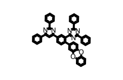 c1ccc(-c2cc(-c3ccc(-c4ccc5c(c4)Oc4ccccc4O5)c(-c4nc(-c5ccccc5)nc(-c5ccccc5)n4)c3)nc(-c3ccccc3)n2)cc1